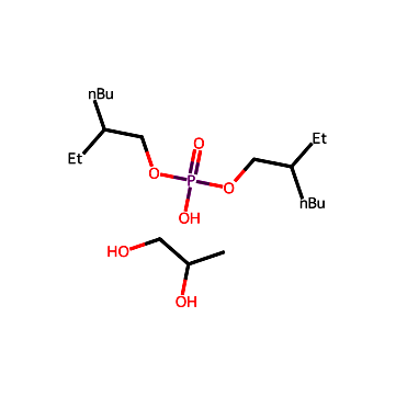 CC(O)CO.CCCCC(CC)COP(=O)(O)OCC(CC)CCCC